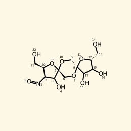 O=NC1C(O)[C@]2(CO[C@@]3(CO2)O[C@H](CO)C(O)C3O)O[C@@H]1CO